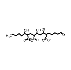 CCCCCC(O)C(CC(C(O)CC(O)C(CCCC[C]=O)[N+](=O)[O-])[N+](=O)[O-])[N+](=O)[O-]